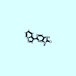 Cn1c(=O)[nH]c2cnc(-c3cnn4ccccc34)nc21